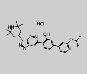 CC1(C)CC(n2nnc3cc(-c4ccc(-c5ccnc(OC(F)F)c5)cc4O)nnc32)CC(C)(C)N1.Cl